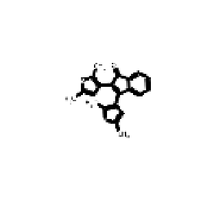 Cc1cc(C2=C(c3cc(C)sc3C)c3ccccc3C2=O)c(C)s1